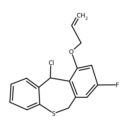 C=CCOc1cc(F)cc2c1C(Cl)c1ccccc1SC2